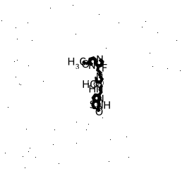 COc1ccc2ncc(F)c(CCN3C[C@@H](CNCc4ccc5c(n4)NC(=O)CS5)[C@H](O)C3)c2n1